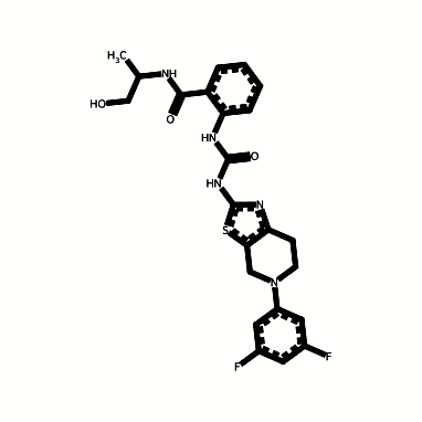 CC(CO)NC(=O)c1ccccc1NC(=O)Nc1nc2c(s1)CN(c1cc(F)cc(F)c1)CC2